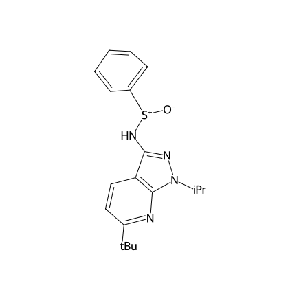 CC(C)n1nc(N[S+]([O-])c2ccccc2)c2ccc(C(C)(C)C)nc21